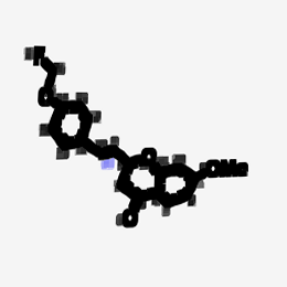 COc1ccc2c(=O)cc(/C=C/c3ccc(OCF)cc3)oc2c1